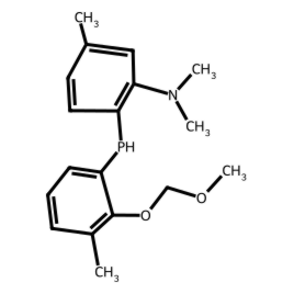 COCOc1c(C)cccc1Pc1ccc(C)cc1N(C)C